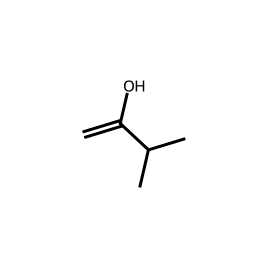 C=C(O)C(C)C